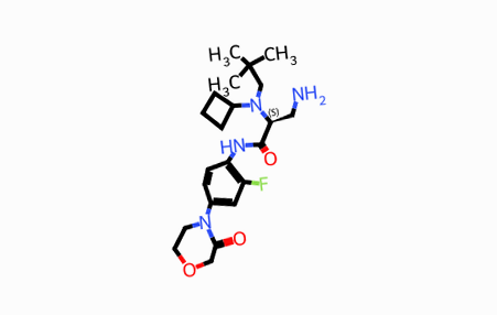 CC(C)(C)CN(C1CCC1)[C@@H](CN)C(=O)Nc1ccc(N2CCOCC2=O)cc1F